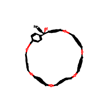 C#CC1(O)c2ccc(cc2)Oc2ccc(cc2)Oc2ccc(cc2)Oc2ccc(cc2)Oc2ccc(cc2)Oc2ccc(cc2)Oc2ccc1cc2